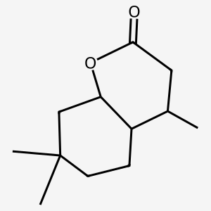 CC1CC(=O)OC2CC(C)(C)CCC12